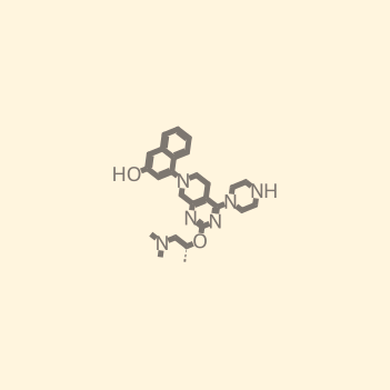 C[C@H](CN(C)C)Oc1nc2c(c(N3CCNCC3)n1)CCN(c1cc(O)cc3ccccc13)C2